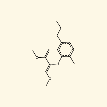 CCCc1ccc(C)c(O/C(=C\OC)C(=O)OC)c1